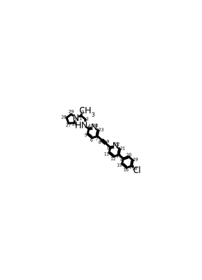 CC(CNc1ccc(C#Cc2ccc(-c3ccc(Cl)cc3)cn2)cn1)N1CCCC1